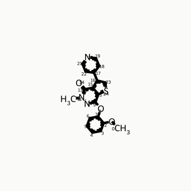 COc1ccccc1Oc1nn(C)c(=O)c2c(-c3ccncc3)csc12